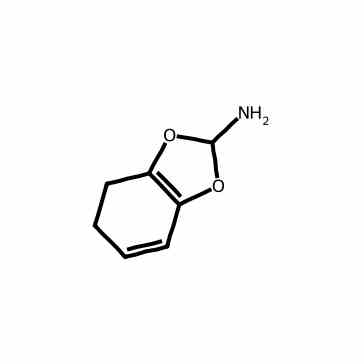 NC1OC2=C(CCC=C2)O1